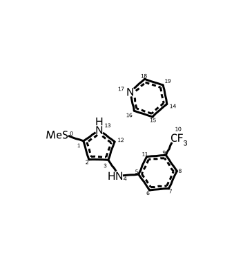 CSc1cc(Nc2cccc(C(F)(F)F)c2)c[nH]1.c1ccncc1